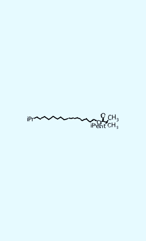 CCCC(C)C(C)(C)C(=O)OCCCCCCCCCCCCCCCC(C)C